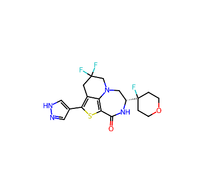 O=C1N[C@@H](C2(F)CCOCC2)CN2CC(F)(F)Cc3c(-c4cn[nH]c4)sc1c32